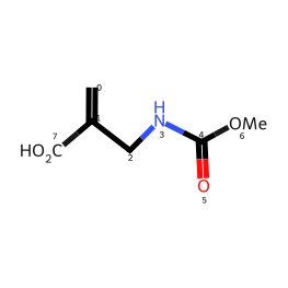 C=C(CNC(=O)OC)C(=O)O